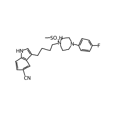 CS(=O)(=O)O.N#Cc1ccc2[nH]cc(CCCCN3CCN(c4ccc(F)cc4)CC3)c2c1